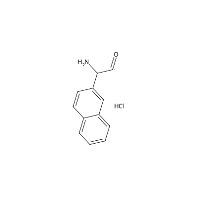 Cl.NC([C]=O)c1ccc2ccccc2c1